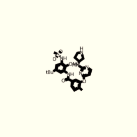 COc1c(NC(=O)c2ccc(C)c(Oc3ccnc(NC4CCNC4)n3)c2)cc(C(C)(C)C)cc1NS(C)(=O)=O